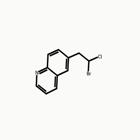 ClC(Br)Cc1ccc2ncccc2c1